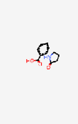 O=C(O)c1ccccc1.O=C1CCCN1